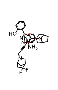 Nc1nnc(-c2ccccc2O)cc1N1CC2CCC(C1)N2c1ccnc(C#CCN2CC3CC2CC3(F)F)c1